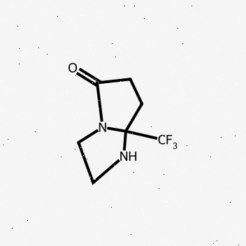 O=C1CCC2(C(F)(F)F)NCCN12